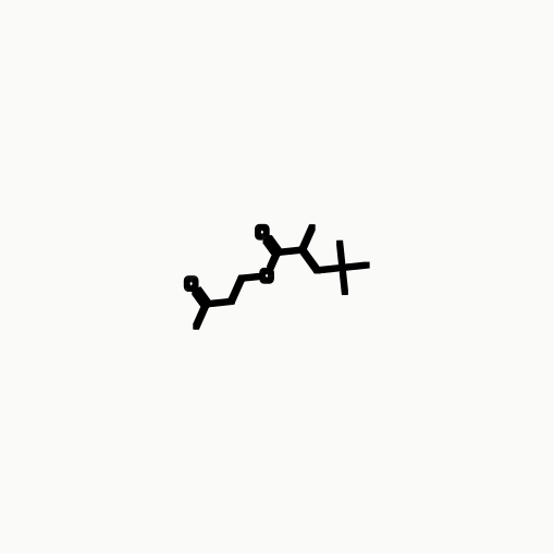 CC(=O)CCOC(=O)C(C)CC(C)(C)C